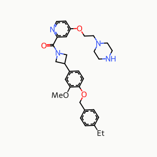 CCc1ccc(COc2ccc(C3CN(C(=O)c4cc(OCCN5CCNCC5)ccn4)C3)cc2OC)cc1